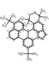 CC(C)(C)c1cc2c3c(c1)-n1ncc4cc5c(c(c41)B3c1ccc(C(C)(C)C)c3cccc-2c13)C(C)(C)CCC5(C)C